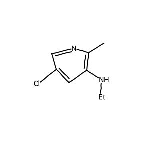 CCNc1cc(Cl)cnc1C